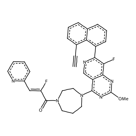 C#Cc1cccc2cccc(-c3ncc4c(N5CCCN(C(=O)/C(F)=C/c6ccccn6)CC5)nc(OC)nc4c3F)c12